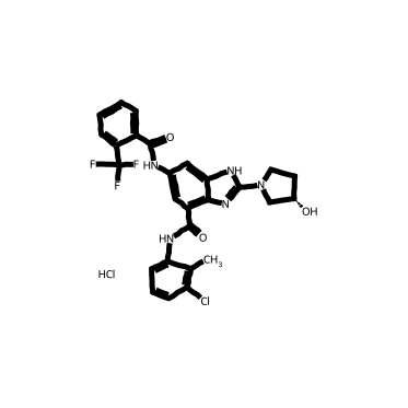 Cc1c(Cl)cccc1NC(=O)c1cc(NC(=O)c2ccccc2C(F)(F)F)cc2[nH]c(N3CC[C@H](O)C3)nc12.Cl